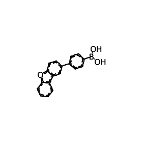 OB(O)c1ccc(-c2ccc3oc4ccccc4c3c2)cc1